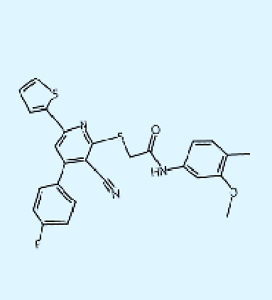 COc1cc(NC(=O)CSc2nc(-c3cccs3)cc(-c3ccc(F)cc3)c2C#N)ccc1C